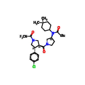 CC1(C)CCC(N(C(=O)C(C)(C)C)[C@H]2CCN(C(=O)[C@@H]3CN(C(=O)NC(F)(F)F)C[C@H]3c3ccc(Cl)cc3)C2)CC1